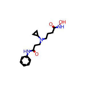 O=C(CCCN(CCC(=O)Nc1ccccc1)C1CC1)NO